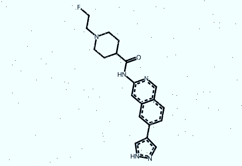 O=C(Nc1cc2cc(-c3cn[nH]c3)ccc2cn1)C1CCN(CCF)CC1